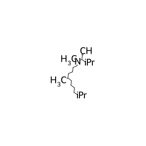 C#CC(C(C)C)N(C)CCCCC(C)CCCCC(C)C